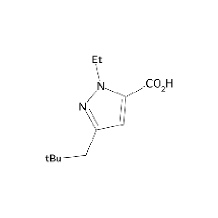 CCn1nc(CC(C)(C)C)cc1C(=O)O